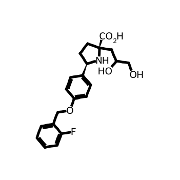 O=C(O)[C@]1(CC(O)CO)CC[C@H](c2ccc(OCc3ccccc3F)cc2)N1